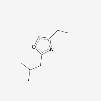 CCc1coc(CC(C)C)n1